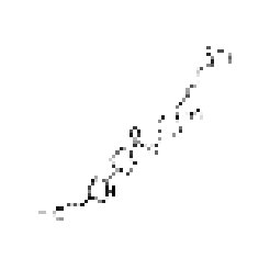 CCCCCCCC1(C#N)CCC(OC(=O)c2ccc(-c3ccc(CCC)cn3)cc2)CC1